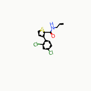 C=CCNC(=O)c1sccc1-c1ccc(Cl)cc1Cl